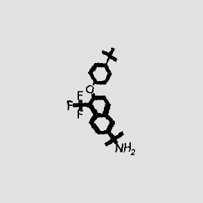 CC(C)(N)c1ccc2c(C(F)(F)F)c(O[C@H]3CC[C@H](C(C)(C)C)CC3)ccc2c1